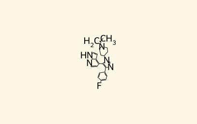 C=C(C)N1CCC(n2cnc(-c3ccc(F)cc3)c2-c2ccnc3[nH]ccc23)CC1